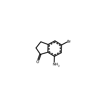 Nc1cc(Br)cc2c1C(=O)CC2